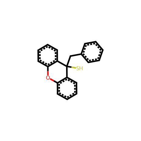 SC1(Cc2ccccc2)c2ccccc2Oc2ccccc21